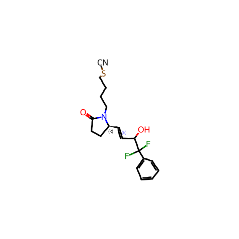 N#CSCCCCN1C(=O)CC[C@@H]1/C=C/C(O)C(F)(F)c1ccccc1